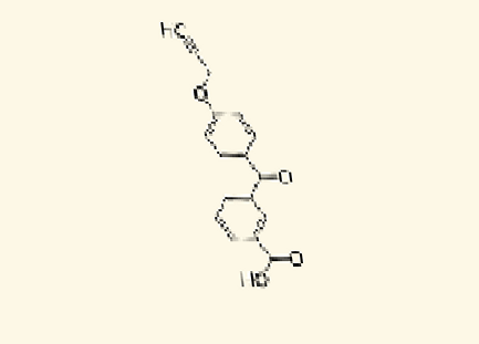 C#CCOc1ccc(C(=O)c2cccc(C(=O)O)c2)cc1